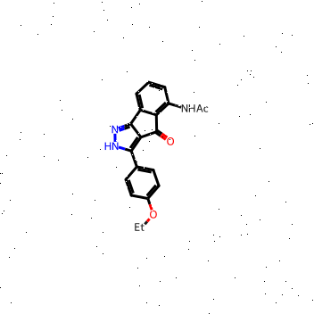 CCOc1ccc(-c2[nH]nc3c2C(=O)c2c(NC(C)=O)cccc2-3)cc1